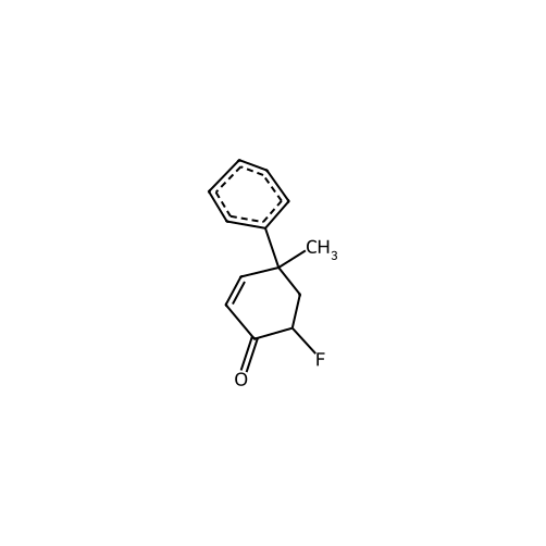 CC1(c2ccccc2)C=CC(=O)C(F)C1